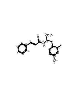 Cc1cc(O)ccc1CC(NC(=O)C=Cc1ccccc1)C(=O)O